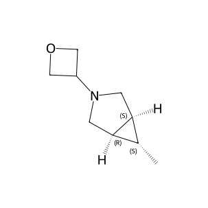 C[C@@H]1[C@H]2CN(C3COC3)C[C@@H]12